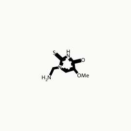 COc1cn(CN)c(=S)[nH]c1=O